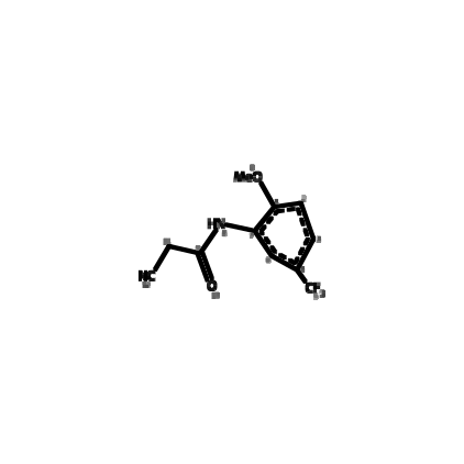 COc1ccc(C(F)(F)F)cc1NC(=O)CC#N